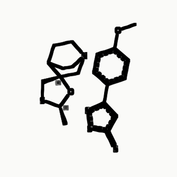 COc1ccc(-c2cc(=S)ss2)cc1.C[C@@H]1O[C@@]2(CS1)CN1CCC2CC1